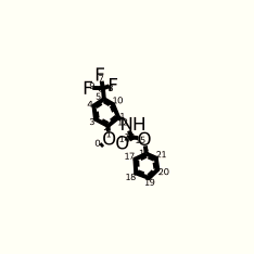 COc1ccc(C(F)(F)F)cc1NC(=O)Oc1ccccc1